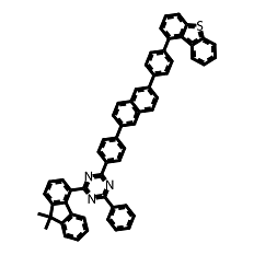 CC1(C)c2ccccc2-c2c(-c3nc(-c4ccccc4)nc(-c4ccc(-c5ccc6cc(-c7ccc(-c8cccc9sc%10ccccc%10c89)cc7)ccc6c5)cc4)n3)cccc21